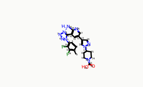 Cc1ccc(-n2nnnc2-c2cc(-c3cnn(C4CCN(C(=O)O)CC4)c3)cnc2N)c(F)c1F